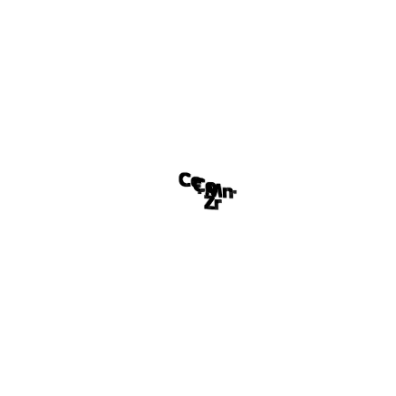 [Ce].[Co].[Mn].[Zr]